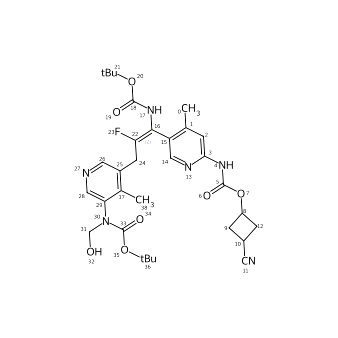 Cc1cc(NC(=O)OC2CC(C#N)C2)ncc1/C(NC(=O)OC(C)(C)C)=C(/F)Cc1cncc(N(CO)C(=O)OC(C)(C)C)c1C